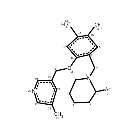 CC(=O)C1CCCCN1Cc1cc(C(F)(F)F)c(C)cc1OCc1cncc(C)c1